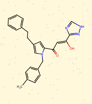 Cc1ccc(Cn2cc(CCc3ccccc3)cc2C(=O)C=C(O)c2nc[nH]n2)cc1